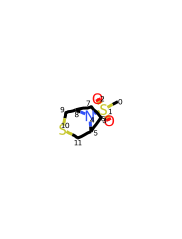 CS(=O)(=O)N1C2CCC1CSC2